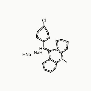 Cn1c2ccccc2c(=[SH]c2ccc(Cl)cc2)c2ccccc21.[NaH].[NaH]